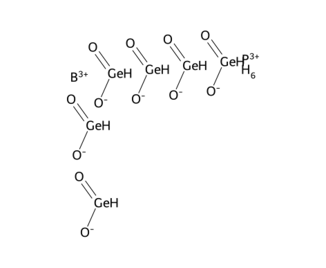 [B+3].[O]=[GeH][O-].[O]=[GeH][O-].[O]=[GeH][O-].[O]=[GeH][O-].[O]=[GeH][O-].[O]=[GeH][O-].[PH6+3]